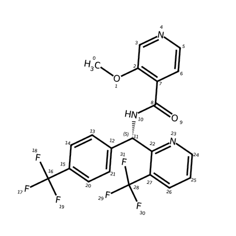 COc1cnccc1C(=O)N[C@@H](c1ccc(C(F)(F)F)cc1)c1ncccc1C(F)(F)F